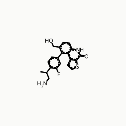 CC(CN)c1ccc(-c2c(CO)ccc3[nH]c(=O)c4sccc4c23)cc1F